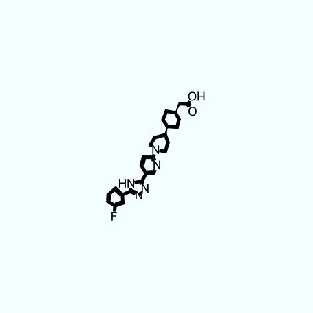 O=C(O)C[C@H]1CC[C@@H](C2CCN(c3ccc(-c4nnc(-c5cccc(F)c5)[nH]4)cn3)CC2)CC1